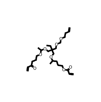 C=CCCOCOCC(CC)(COC(C)CCCOC(=O)C=C)COC(C)OCCCC(=O)C=C